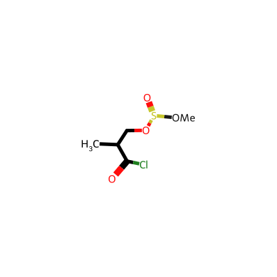 COS(=O)OCC(C)C(=O)Cl